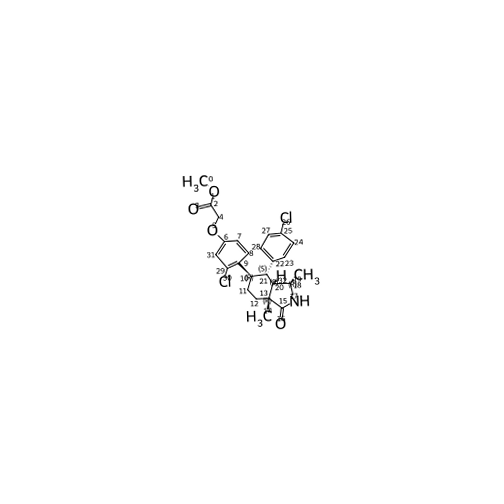 COC(=O)COc1ccc([C@@H]2CC[C@@]3(C)C(=O)N[C@H](C)[C@H]3[C@H]2c2ccc(Cl)cc2)c(Cl)c1